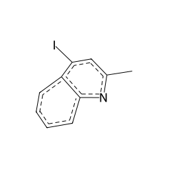 Cc1cc(I)c2ccccc2n1